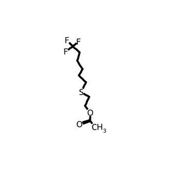 CC(=O)OCCSCCCCCC(F)(F)F